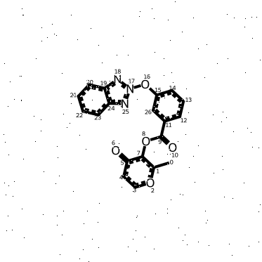 Cc1occc(=O)c1OC(=O)c1cccc(On2nc3ccccc3n2)c1